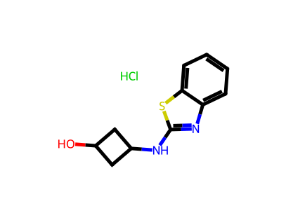 Cl.OC1CC(Nc2nc3ccccc3s2)C1